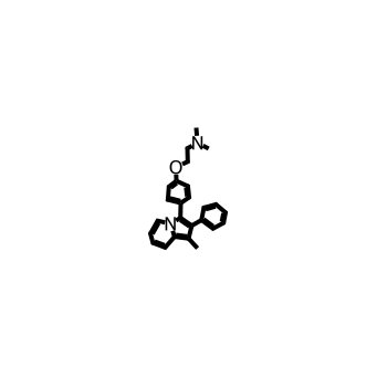 Cc1c(-c2ccccc2)c(-c2ccc(OCCN(C)C)cc2)n2ccccc12